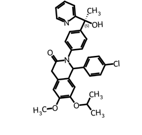 COc1cc2c(cc1OC(C)C)C(c1ccc(Cl)cc1)N(c1ccc([C@](C)(O)c3ccccn3)cc1)C(=O)C2